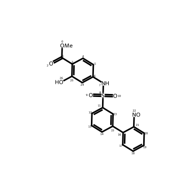 COC(=O)c1ccc(NS(=O)(=O)c2cccc(-c3ccccc3N=O)c2)cc1O